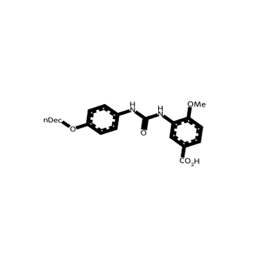 CCCCCCCCCCOc1ccc(NC(=O)Nc2cc(C(=O)O)ccc2OC)cc1